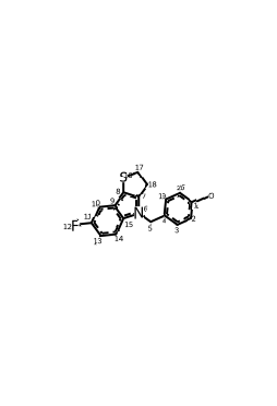 Cc1ccc(Cn2c3c(c4cc(F)ccc42)SCC3)cc1